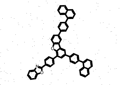 c1ccc2c(-c3ccc(-c4ccc5oc6c(-c7ccc(-c8nc9ccccc9o8)cc7)cc(-c7ccc(-c8cccc9ccccc89)cc7)cc6c5c4)cc3)cccc2c1